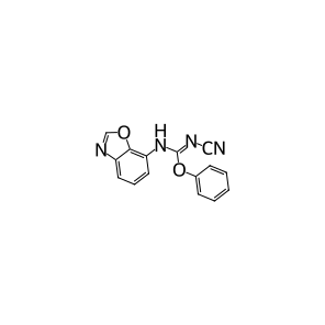 N#CN=C(Nc1cccc2ncoc12)Oc1ccccc1